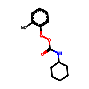 N#Cc1ccccc1OOC(=O)NC1CCCCC1